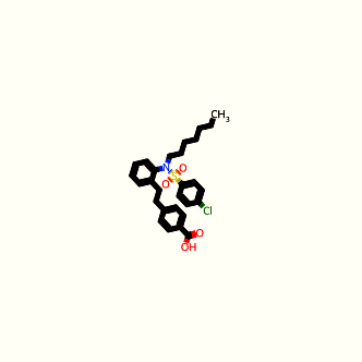 CCCCCCCN(c1ccccc1CCc1ccc(C(=O)O)cc1)S(=O)(=O)c1ccc(Cl)cc1